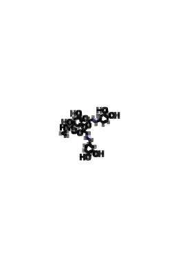 O=C(/C=C/c1ccc(O)c(O)c1)O[C@@H]1[C@H](O)C[C@@](O)(C(=O)NC2CC2)C[C@H]1OC(=O)/C=C/Cc1ccc(O)c(O)c1